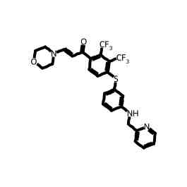 O=C(C=CN1CCOCC1)c1ccc(Sc2cccc(NCc3ccccn3)c2)c(C(F)(F)F)c1C(F)(F)F